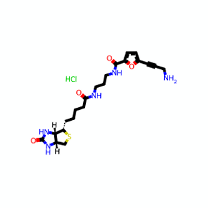 Cl.NCC#Cc1ccc(C(=O)NCCCNC(=O)CCCC[C@@H]2SC[C@@H]3NC(=O)N[C@@H]32)o1